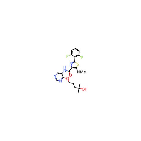 CNc1sc(-c2c(F)cccc2F)nc1C(=O)Nc1cncnc1OCCCC(C)(C)O